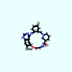 COc1cc2ncnc3c2cc1OCCNC(=O)C1CCCN(CC2=CC(Cl)=CC/C2=N/3)C1